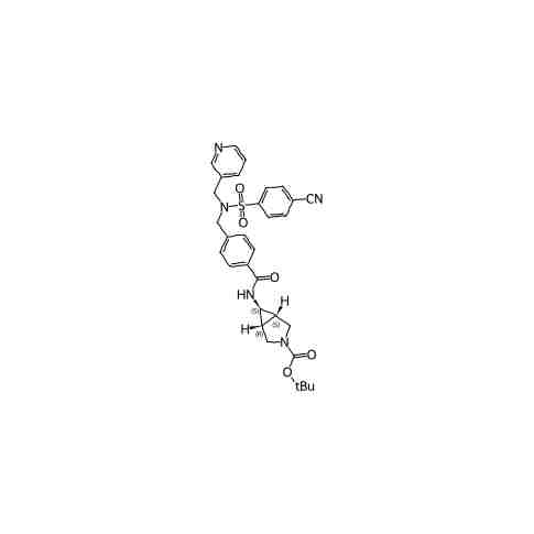 CC(C)(C)OC(=O)N1C[C@@H]2[C@H](C1)[C@H]2NC(=O)c1ccc(CN(Cc2cccnc2)S(=O)(=O)c2ccc(C#N)cc2)cc1